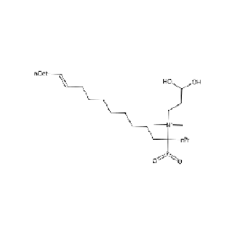 CCCCCCCCC=CCCCCCCCCC(CCC)(P(=O)=O)[N+](C)(C)CCC(O)O